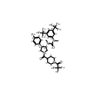 CN(C(=O)N(C)[C@@H]1CN(C(=O)C2CCN(C(=O)C(F)(F)F)CC2)C[C@H]1c1ccc(F)cc1)c1cc(C(F)(F)F)cc(C(F)(F)F)c1